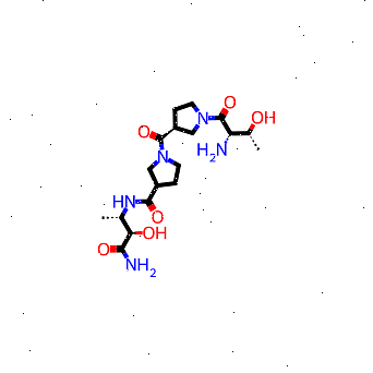 C[C@H](NC(=O)C1CCN(C(=O)[C@H]2CCN(C(=O)[C@@H](N)[C@@H](C)O)C2)C1)[C@@H](O)C(N)=O